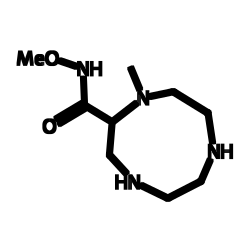 CONC(=O)C1CNCCNCCN1C